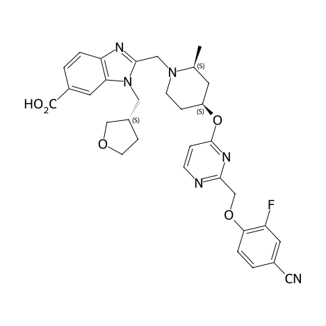 C[C@H]1C[C@@H](Oc2ccnc(COc3ccc(C#N)cc3F)n2)CCN1Cc1nc2ccc(C(=O)O)cc2n1C[C@@H]1CCOC1